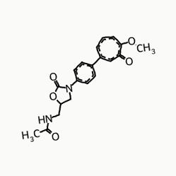 COc1cccc(-c2ccc(N3CC(CNC(C)=O)OC3=O)cc2)cc1=O